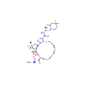 CCCNC(=O)C(=O)[C@@H]1CCCCCCCCCC[C@H](NC(=O)N[C@H](CN2CCC(C)(C)CC2=O)C(C)(C)C)C(=O)N2C[C@H]3[C@@H]([C@H]2C(=O)N1)C3(C)C